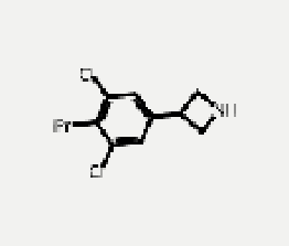 CC(C)c1c(Cl)cc(C2CNC2)cc1Cl